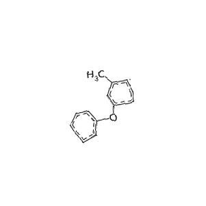 Cc1[c]ccc(Oc2ccccc2)c1